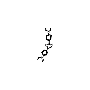 CCN(CC)c1ccc(C2=NCN(c3ccc(N(CC)CC)cc3)O2)cc1